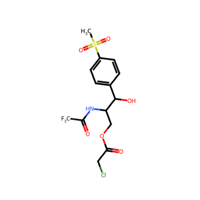 CS(=O)(=O)c1ccc(C(O)C(COC(=O)CCl)NC(=O)C(F)(F)F)cc1